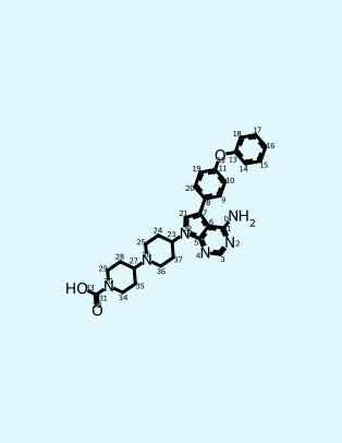 Nc1ncnc2c1c(-c1ccc(Oc3ccccc3)cc1)cn2C1CCN(C2CCN(C(=O)O)CC2)CC1